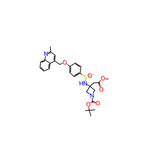 COC(=O)CC1(N[S+]([O-])c2ccc(OCc3cc(C)nc4ccccc34)cc2)CN(C(=O)OC(C)(C)C)C1